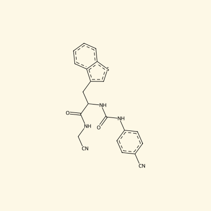 N#CCNC(=O)C(Cc1csc2ccccc12)NC(=O)Nc1ccc(C#N)cc1